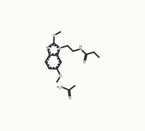 CC(N)=O.CCC(=O)NCCn1c(OC)nc2ccc(OC)cc21